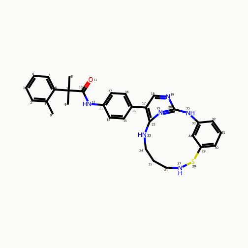 Cc1ccccc1C(C)(C)C(=O)Nc1ccc(-c2cnc3nc2NCCCNSc2cccc(c2)N3)cc1